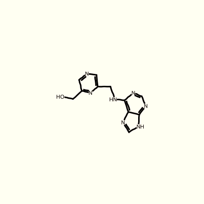 OCc1cncc(CNc2ncnc3[nH]cnc23)n1